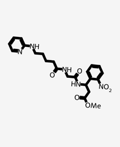 COC(=O)CC(NC(=O)CNC(=O)CCCCNc1ccccn1)c1ccccc1[N+](=O)[O-]